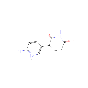 Nc1ccc(C2CCC(=O)NC2=O)cn1